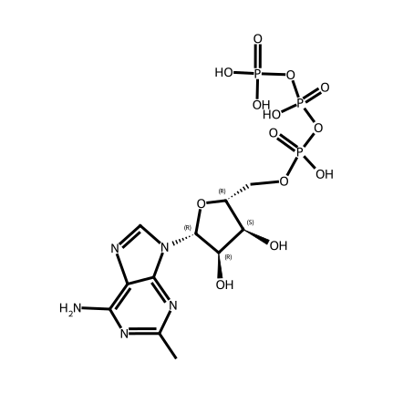 Cc1nc(N)c2ncn([C@@H]3O[C@H](COP(=O)(O)OP(=O)(O)OP(=O)(O)O)[C@@H](O)[C@H]3O)c2n1